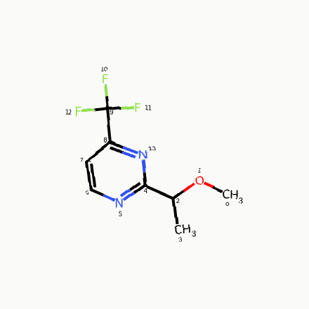 COC(C)c1nc[c]c(C(F)(F)F)n1